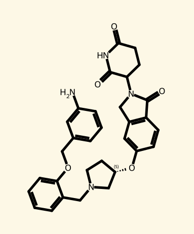 Nc1cccc(COc2ccccc2CN2CC[C@H](Oc3ccc4c(c3)CN(C3CCC(=O)NC3=O)C4=O)C2)c1